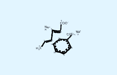 CC=CC=CC(=O)[O-].O=C([O-])c1ccccc1.[Na+].[Na+]